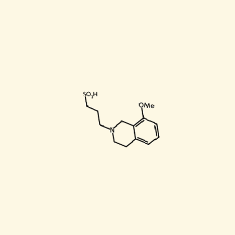 COc1cccc2c1CN(CCCS(=O)(=O)O)CC2